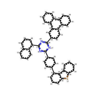 c1ccc2c(-c3nc(-c4ccc(-c5cccc6sc7ccccc7c56)cc4)nc(-c4ccc5c6ccccc6c6ccccc6c5c4)n3)cccc2c1